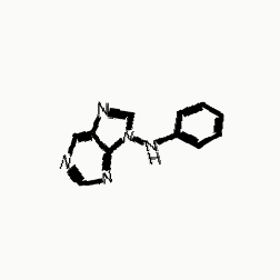 c1ccc(Nn2cnc3cncnc32)cc1